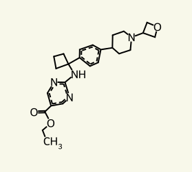 CCOC(=O)c1cnc(NC2(c3ccc(C4CCN(C5COC5)CC4)cc3)CCC2)nc1